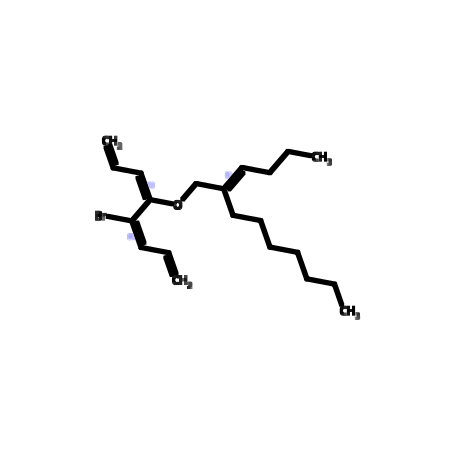 C=C/C=C(Br)\C(=C/C=C)OC/C(=C/CCC)CCCCCCC